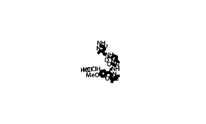 COc1ccc([C@@H](CNc2ncc3n(c2=O)[C@H](C(=O)NCc2ccc(N)nc2C)CC3)c2cc(C)cc(C)n2)c(OC)c1.Cl.Cl.Cl